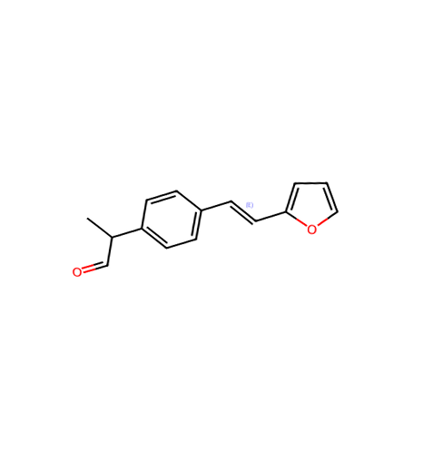 CC(C=O)c1ccc(/C=C/c2ccco2)cc1